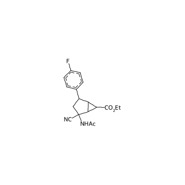 CCOC(=O)C1C2C(c3ccc(F)cc3)CC(C#N)(NC(C)=O)C12